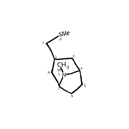 CSCC1CC2CCC(C1)N2C